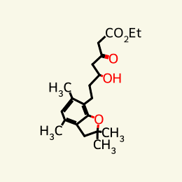 CCOC(=O)CC(=O)CC(O)CCc1c(C)cc(C)c2c1OC(C)(C)C2